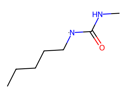 CCCCC[N]C(=O)NC